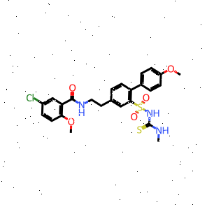 CNC(=S)NS(=O)(=O)c1cc(CCNC(=O)c2cc(Cl)ccc2OC)ccc1-c1ccc(OC)cc1